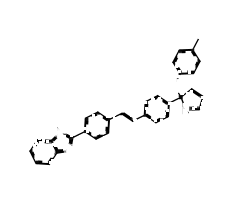 Cc1ccc(OC2(c3ccc(C=Cc4ccc(-c5nc6ccccc6o5)cc4)cc3)C=CC=N2)cc1